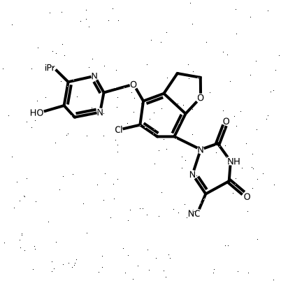 CC(C)c1nc(Oc2c(Cl)cc(-n3nc(C#N)c(=O)[nH]c3=O)c3c2CCO3)ncc1O